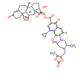 COc1c(N2CCN(Cc3oc(=O)oc3C)C(C)C2)c(F)cc2c(=O)c(C(=O)OCC(=O)[C@]3(O)CC[C@@H]4[C@H]5CCC6=CC(=O)CC[C@@]6(C)C5[C@H](O)C[C@]43C)cn(C3CC3)c12